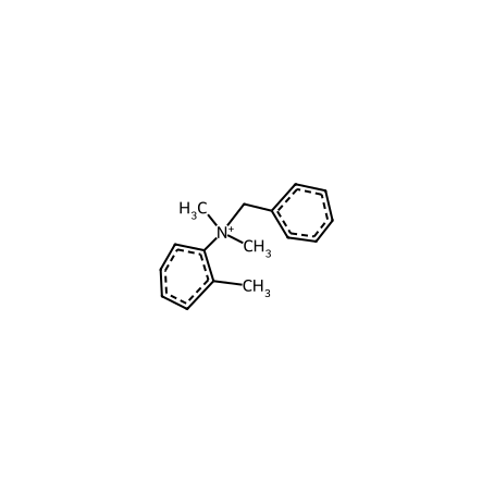 Cc1ccccc1[N+](C)(C)Cc1ccccc1